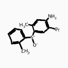 Cc1ccccc1[S+]([O-])c1cc(C(C)C)c(N)cc1C